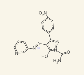 NC(=O)n1nc(-c2ccc([N+](=O)[O-])cc2)c(/N=N/c2cccnc2)c1O